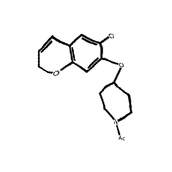 CC(=O)N1CCC(Oc2cc3c(cc2Cl)C=CCO3)CC1